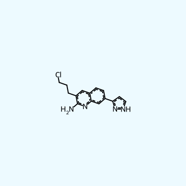 Nc1nc2cc(-c3cc[nH]n3)ccc2cc1CCCCl